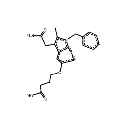 Cc1c(CC(N)=O)c2cc(OCCCC(=O)O)ccc2n1Cc1ccccc1